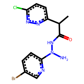 CC(C(=O)NN(N)c1ccc(Br)cn1)c1ccc(Cl)nn1